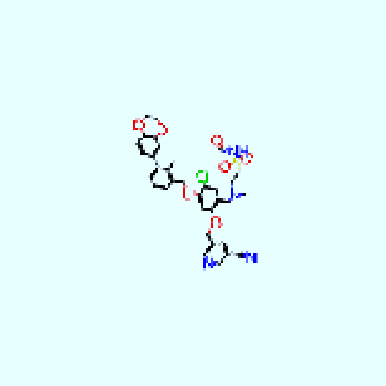 Cc1c(COc2cc(OCc3cncc(C#N)c3)c(CN(C)CCS(=O)(=O)NC=O)cc2Cl)cccc1-c1ccc2c(c1)OCCO2